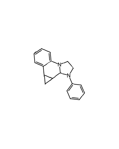 c1ccc(N2CCN3c4ccccc4C4CC4C23)cc1